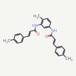 Cc1ccc(C=CC(=O)Nc2ccc(C)c(NC(=O)C=Cc3ccc(C)cc3)c2)cc1